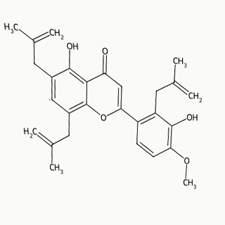 C=C(C)Cc1[c]c(CC(=C)C)c2oc(-c3ccc(OC)c(O)c3CC(=C)C)cc(=O)c2c1O